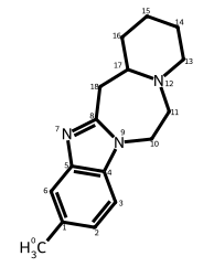 Cc1ccc2c(c1)nc1n2CCN2CCCCC2C1